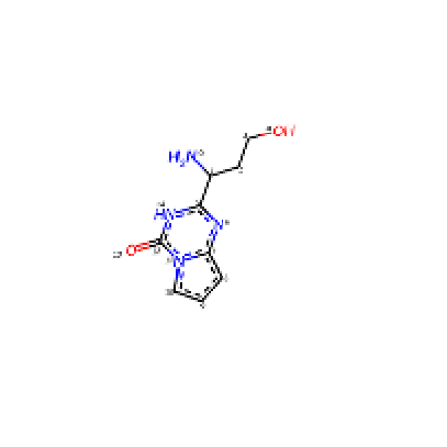 NC(CCO)c1nc2cccn2c(=O)[nH]1